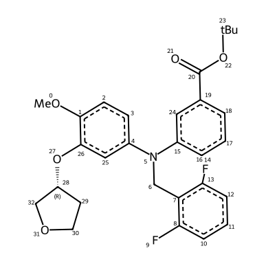 COc1ccc(N(Cc2c(F)cccc2F)c2cccc(C(=O)OC(C)(C)C)c2)cc1O[C@@H]1CCOC1